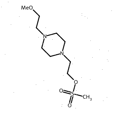 COCCN1CCN(CCOS(C)(=O)=O)CC1